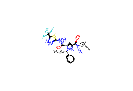 CNC(=O)c1cc(C(=O)Nc2nnc(C(F)(F)F)s2)n([C@@H](C)c2ccccc2)n1